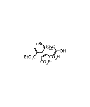 C=C(CC(CC)CCCC)C(=O)OCC.C=C(O)C(=O)OCC.CCOC(=O)/C=C\C(=O)O